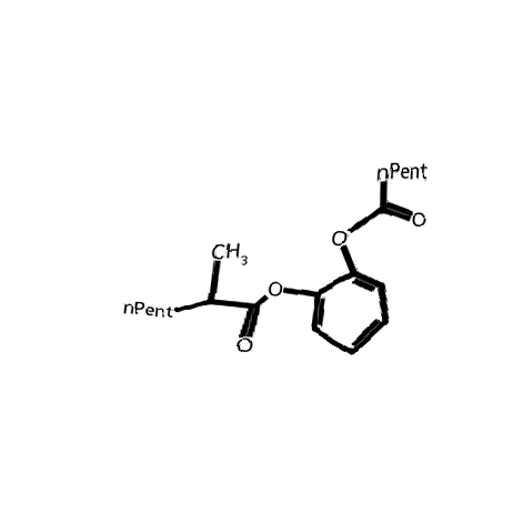 CCCCCC(=O)Oc1ccccc1OC(=O)C(C)CCCCC